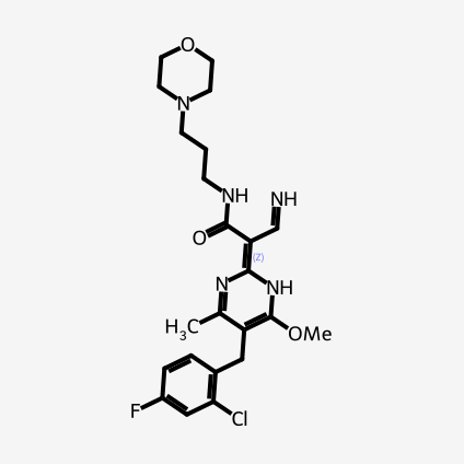 COC1=C(Cc2ccc(F)cc2Cl)C(C)=N/C(=C(/C=N)C(=O)NCCCN2CCOCC2)N1